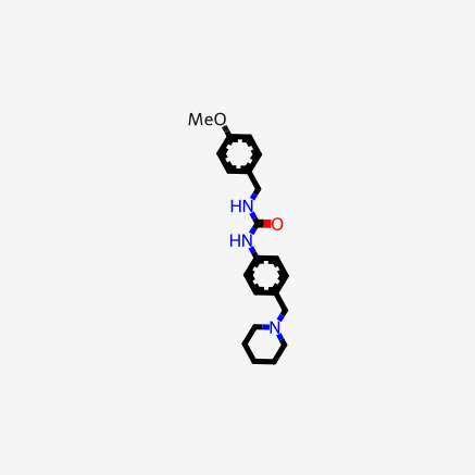 COc1ccc(CNC(=O)Nc2ccc(CN3CCCCC3)cc2)cc1